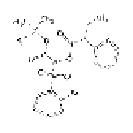 CCC(C(=O)ON(C(=O)OC(C)(C)C)S(=O)(=O)c1ccccc1Br)c1ccccc1